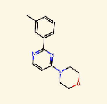 Cc1cccc(-c2nccc(N3CCOCC3)n2)c1